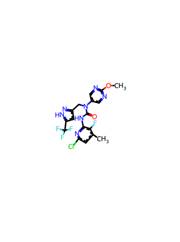 COc1ncc(N(Cc2cc(C(F)(F)F)[nH]n2)C(=O)Nc2nc(Cl)cc(C)c2F)cn1